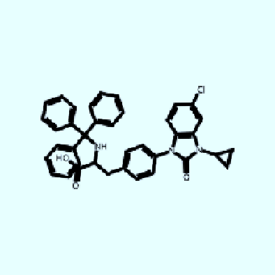 O=C(O)C(Cc1ccc(-n2c(=O)n(C3CC3)c3cc(Cl)ccc32)cc1)NC(c1ccccc1)(c1ccccc1)c1ccccc1